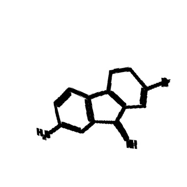 Bc1ccc2c(c1)C(=N)C1=C2CCC(Br)=C1